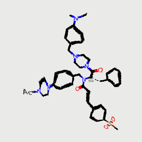 CC(=O)N1CCN(c2ccc(CN(C(=O)C=Cc3ccc(S(C)(=O)=O)cc3)[C@@H](Cc3ccccc3)C(=O)N3CCN(Cc4ccc(N(C)C)cc4)CC3)cc2)CC1